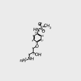 CCCNCC(O)COc1ccc(NS(C)(=O)=O)cc1